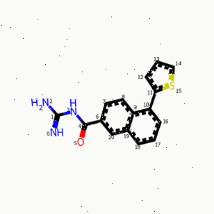 N=C(N)NC(=O)c1ccc2c(-c3cccs3)cccc2c1